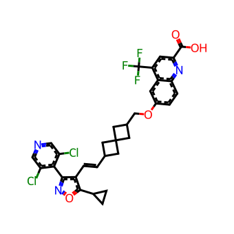 O=C(O)c1cc(C(F)(F)F)c2cc(OCC3CC4(CC(C=Cc5c(-c6c(Cl)cncc6Cl)noc5C5CC5)C4)C3)ccc2n1